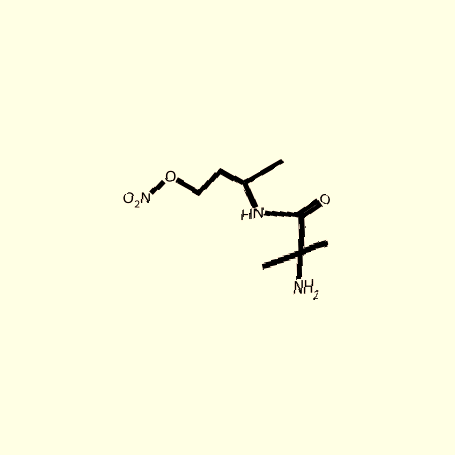 CC(CCO[N+](=O)[O-])NC(=O)C(C)(C)N